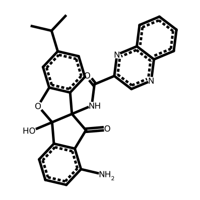 CC(C)c1ccc2c(c1)OC1(O)c3cccc(N)c3C(=O)C21NC(=O)c1cnc2ccccc2n1